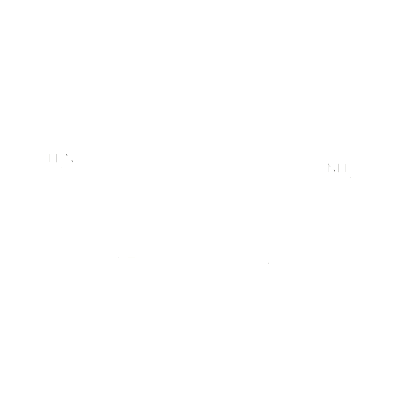 CCc1cc(-c2ccc(N)c(CC)c2)ccc1N